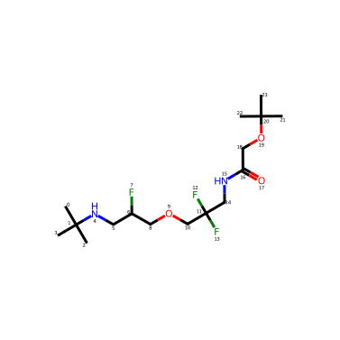 CC(C)(C)NCC(F)COCC(F)(F)CNC(=O)COC(C)(C)C